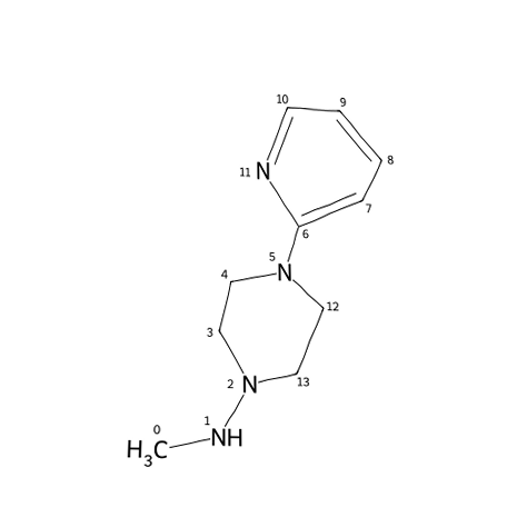 CNN1CCN(c2ccccn2)CC1